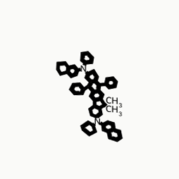 CC1(C)C2=C(CCC(N(c3ccc4ccccc4c3)C3C=CC=CC3)=C2)c2cc3c(-c4ccccc4)c4cc(N(c5ccccc5)c5ccc6c(c5)C=CCC6)ccc4c(-c4ccccc4)c3cc21